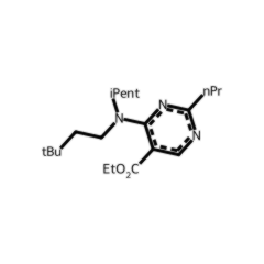 CCCc1ncc(C(=O)OCC)c(N(CCC(C)(C)C)C(C)CCC)n1